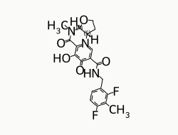 Cc1c(F)ccc(CNC(=O)c2cn3c(c(O)c2=O)C(=O)N(C)[C@@H]2OCC[C@@H]23)c1F